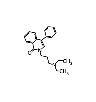 CCN(CC)CCCn1cc(-c2ccccc2)c2ccccc2c1=O